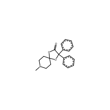 CN1CCC2(CC1)OC(=O)C(c1ccccc1)(c1ccccc1)O2